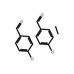 CC.O=Cc1ccc(Cl)cc1.O=Cc1ccc(Cl)cc1